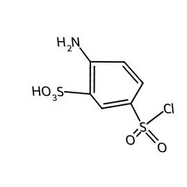 Nc1ccc(S(=O)(=O)Cl)cc1S(=O)(=O)O